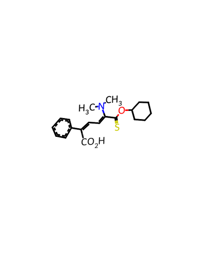 CN(C)C(=CC=C(C(=O)O)c1ccccc1)C(=S)OC1CCCCC1